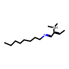 CC=C(C=NCCCCCCCC)[SiH](C)C